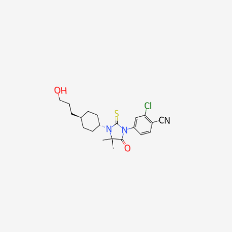 CC1(C)C(=O)N(c2ccc(C#N)c(Cl)c2)C(=S)N1[C@H]1CC[C@H](CCCO)CC1